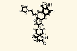 Cc1cc2c(c3cn[nH]c13)CN(CCN1CCCC1)C(=O)[C@@H](CC(=O)N1CCC3(CC1)NC(=O)NC3=O)C2